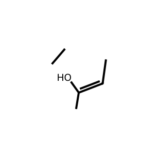 CC.CC=C(C)O